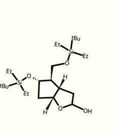 CC[Si](CC)(OC[C@H]1[C@@H]2CC(O)O[C@@H]2C[C@@H]1O[Si](CC)(CC)C(C)(C)C)C(C)(C)C